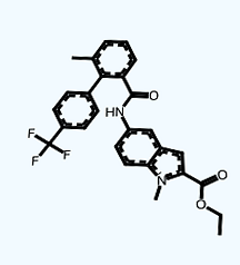 CCOC(=O)c1cc2cc(NC(=O)c3cccc(C)c3-c3ccc(C(F)(F)F)cc3)ccc2n1C